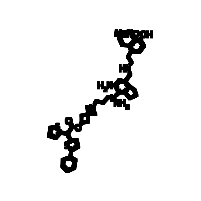 CNc1c(O)ccc(CCNCc2cc(N)c(N(N)CCCN3CC4(CC(OC(=O)C(c5cccs5)c5ccc(-c6ccccc6)s5)C4)C3)c3c2CCC3)c1/C=C\C=O